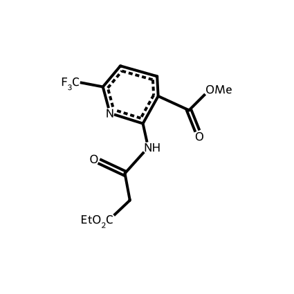 CCOC(=O)CC(=O)Nc1nc(C(F)(F)F)ccc1C(=O)OC